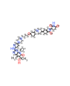 Cc1c(C(C)O)c(=O)n(C2CCCC2)c2nc(Nc3ccc(N4CCN(CCCCOc5cccc(CN6CCC(c7ccc8c(c7)CN(C7CCC(=O)NC7=O)C8=O)CC6)c5)CC4)cn3)ncc12